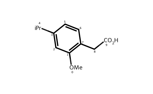 COc1cc(C(C)C)ccc1CC(=O)O